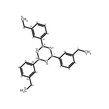 CCc1cccc(B2OB(c3cccc(CC)c3)OB(c3cccc(CC)c3)O2)c1